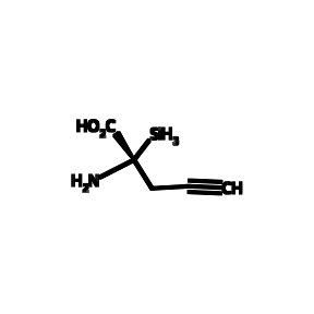 C#CC[C@](N)([SiH3])C(=O)O